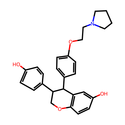 Oc1ccc(C2COc3ccc(O)cc3C2c2ccc(OCCN3CCCC3)cc2)cc1